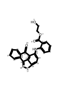 O=C(OCCO)c1ccccc1Nc1ccc2snc3c2c1C(=O)c1ccccc1-3